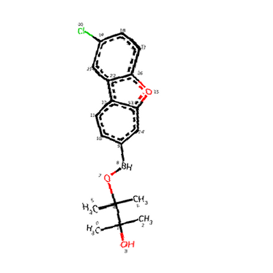 CC(C)(O)C(C)(C)OBc1ccc2c(c1)oc1ccc(Cl)cc12